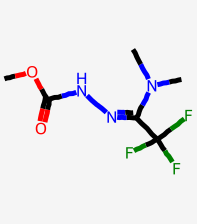 COC(=O)NN=C(N(C)C)C(F)(F)F